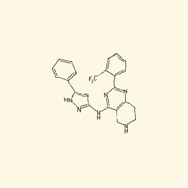 FC(F)(F)c1ccccc1-c1nc2c(c(Nc3n[nH]c(-c4ccccc4)n3)n1)CNCC2